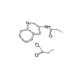 CCC(=O)Cl.CCC(=O)Nc1cnc2ccccc2c1